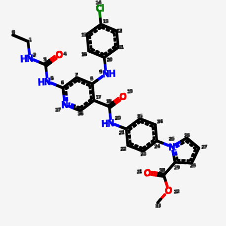 CCNC(=O)Nc1cc(Nc2ccc(Cl)cc2)c(C(=O)Nc2ccc(-n3cccc3C(=O)OC)cc2)cn1